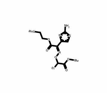 CCC(ON=C(C(=O)OCCSC)c1csc(N)n1)C(=O)OC(C)(C)C